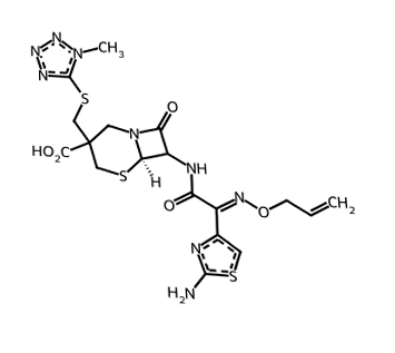 C=CCON=C(C(=O)NC1C(=O)N2CC(CSc3nnnn3C)(C(=O)O)CS[C@H]12)c1csc(N)n1